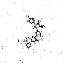 CC(C)C1C(=O)N(c2ncc(Cl)cn2)C(=O)N1c1cn2c(n1)-c1ccc(N3CCC[C@H]3C(N)=O)cc1OCC2